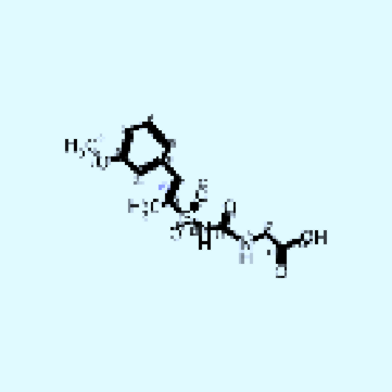 COc1cccc(/C=C(\C)S(=O)(=O)NC(=O)NCC(=O)O)c1